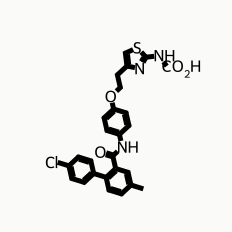 Cc1ccc(-c2ccc(Cl)cc2)c(C(=O)Nc2ccc(OCCc3csc(NC(=O)O)n3)cc2)c1